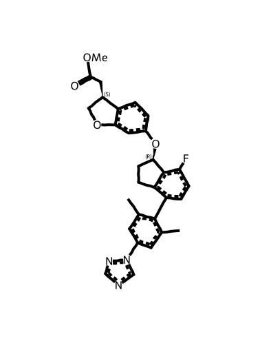 COC(=O)C[C@@H]1COc2cc(O[C@@H]3CCc4c(-c5c(C)cc(-n6cncn6)cc5C)ccc(F)c43)ccc21